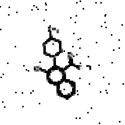 CC1CCN(c2c(Cl)cc3ccccc3c2C(=O)C=O)CC1